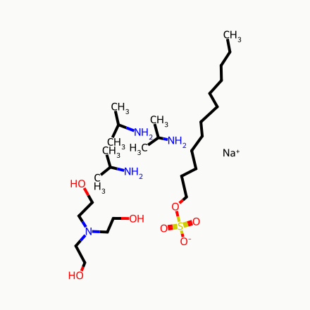 CC(C)N.CC(C)N.CC(C)N.CCCCCCCCCCCCOS(=O)(=O)[O-].OCCN(CCO)CCO.[Na+]